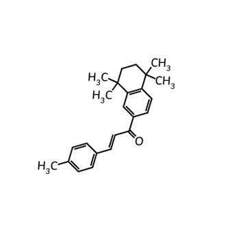 Cc1ccc(/C=C/C(=O)c2ccc3c(c2)C(C)(C)CCC3(C)C)cc1